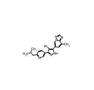 Cc1cc(-c2[nH]nc(-c3ccc(CN(C)C)nc3)c2C(C)C)cn2ncnc12